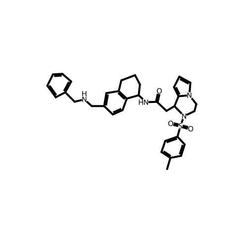 Cc1ccc(S(=O)(=O)N2CCn3cccc3C2CC(=O)NC2CCCc3cc(CNCc4ccccc4)ccc32)cc1